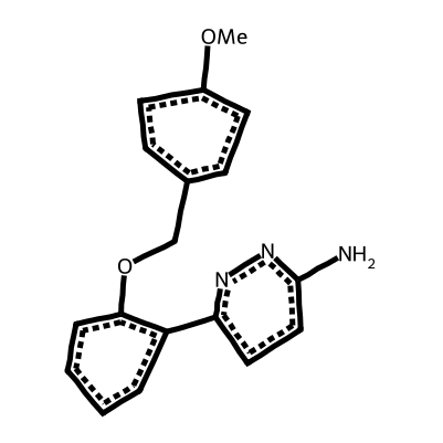 COc1ccc(COc2ccccc2-c2ccc(N)nn2)cc1